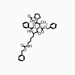 C[C@@H](C(=O)N1CCC[C@H]1C(=O)O)N(CC(=O)C(CCCCNC(=O)OCc1ccccc1)NC(=O)c1ccccc1)C(=O)OCc1ccccc1